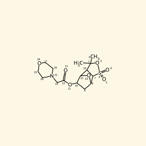 CC1(C)OS(=O)(=O)C2C3CC(OC(=O)CN4CCOCC4)C(O3)C21